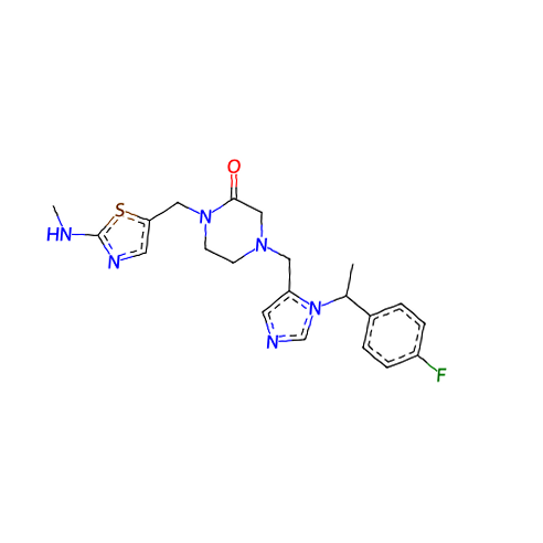 CNc1ncc(CN2CCN(Cc3cncn3C(C)c3ccc(F)cc3)CC2=O)s1